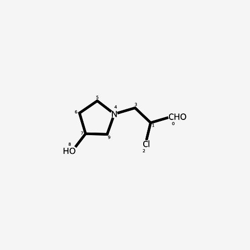 O=CC(Cl)CN1CCC(O)C1